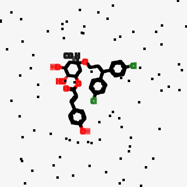 O=C(C=Cc1ccc(O)cc1)O[C@@H]1C[C@](OCCC(c2ccc(Cl)cc2)c2ccc(Cl)cc2)(C(=O)O)C[C@H](O)[C@H]1O